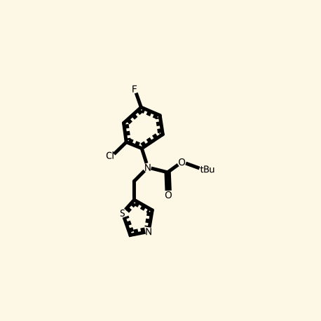 CC(C)(C)OC(=O)N(Cc1cncs1)c1ccc(F)cc1Cl